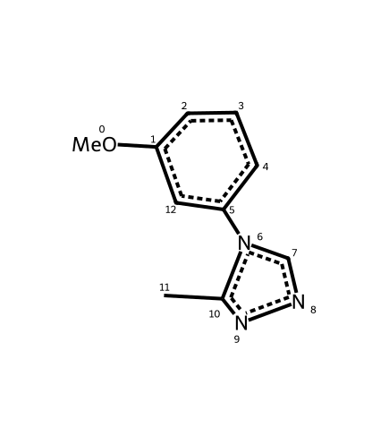 COc1cccc(-n2cnnc2C)c1